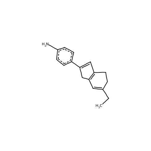 CCC1=CC2=C(C=C(c3ccc(N)cc3)C2)CC1